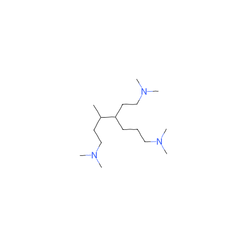 CC(CCN(C)C)C(CCCN(C)C)CCN(C)C